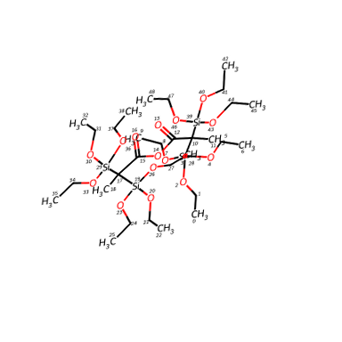 CCO[Si](OCC)(OCC)C(C)(C(=O)OC(=O)C(C)([Si](OCC)(OCC)OCC)[Si](OCC)(OCC)OCC)[Si](OCC)(OCC)OCC